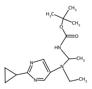 CCN(c1cnc(C2CC2)nc1)C(C)NC(=O)OC(C)(C)C